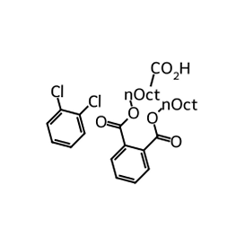 CC(=O)O.CCCCCCCCOC(=O)c1ccccc1C(=O)OCCCCCCCC.Clc1ccccc1Cl